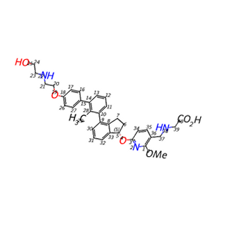 COc1nc(O[C@H]2CCc3c(-c4cccc(-c5ccc(OCCNCCO)cc5)c4C)cccc32)ccc1CNCC(=O)O